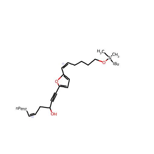 CCCCC/C=C\CC(O)C#Cc1ccc(/C=C\CCCCO[Si](C)(C)C(C)(C)C)o1